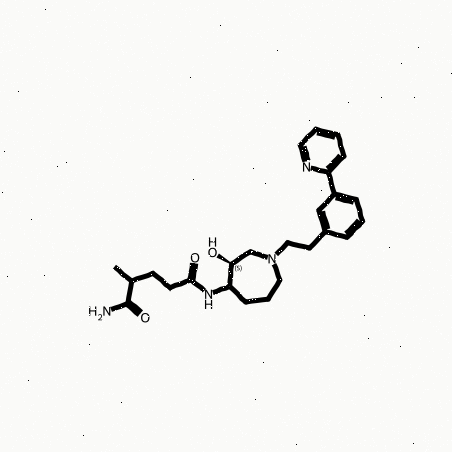 CC(C[CH]C(=O)NC1CCCN(CCc2cccc(-c3ccccn3)c2)C[C@@H]1O)C(N)=O